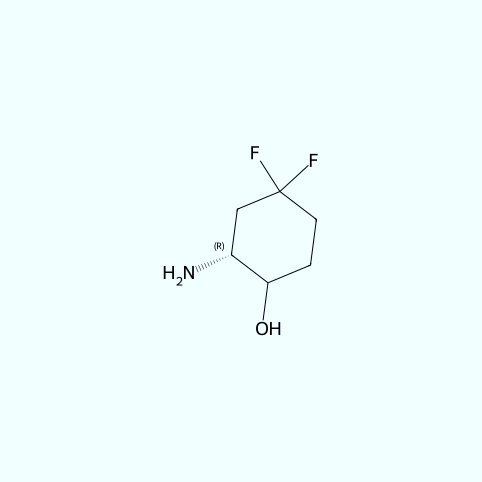 N[C@@H]1CC(F)(F)CCC1O